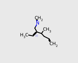 C=CCC(C)/C(=C/C)CN=C